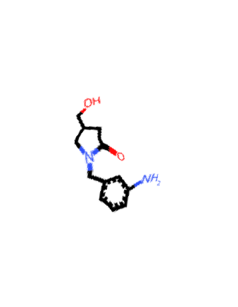 Nc1cccc(CN2CC(CO)CC2=O)c1